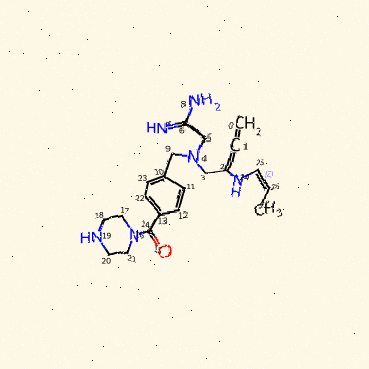 C=C=C(CN(CC(=N)N)Cc1ccc(C(=O)N2CCNCC2)cc1)N/C=C\C